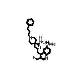 COc1ccc2ncc(CF)c(CCCC3(C(=O)NO)CCN(CCCc4ccccc4)CC3)c2c1